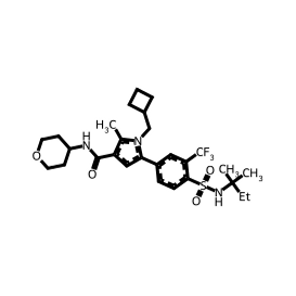 CCC(C)(C)NS(=O)(=O)c1ccc(-c2cc(C(=O)NC3CCOCC3)c(C)n2CC2CCC2)cc1C(F)(F)F